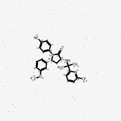 CC(C)(N[C@@H]1C[C@H](c2cccc(OC(F)(F)F)c2)N(c2ccc(C#N)cc2)C1=O)c1cccc(C(F)(F)F)n1